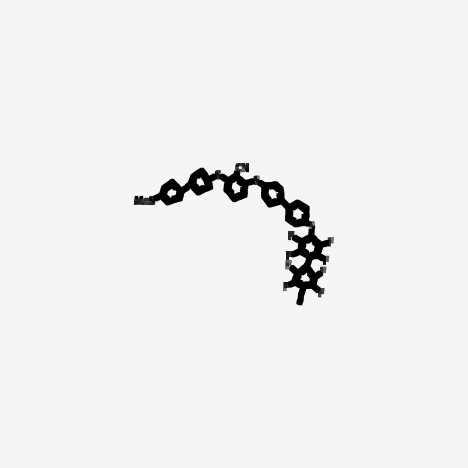 CSc1ccc(-c2ccc(Sc3cccc(Sc4ccc(-c5ccc(Sc6c(F)c(F)c(-c7c(F)c(F)c(C)c(F)c7F)c(F)c6F)cc5)cc4)c3C#N)cc2)cc1